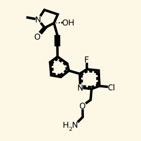 CN1CC[C@@](O)(C#Cc2cccc(-c3nc(COCN)c(Cl)cc3F)c2)C1=O